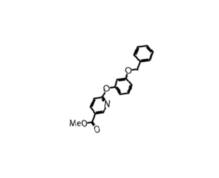 COC(=O)c1ccc(Oc2cccc(OCc3ccccc3)c2)nc1